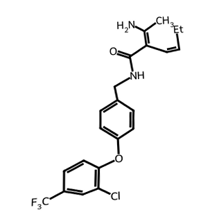 CC/C=C\C(C(=O)NCc1ccc(Oc2ccc(C(F)(F)F)cc2Cl)cc1)=C(/C)N